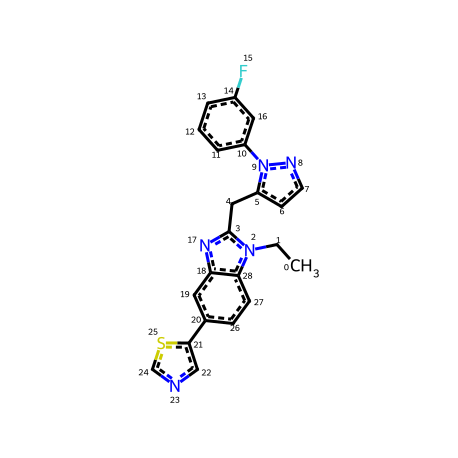 CCn1c(Cc2ccnn2-c2cccc(F)c2)nc2cc(-c3cncs3)ccc21